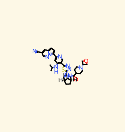 CC(C)Nc1cc(-c2ccc3cc(C#N)cnn23)ncc1-c1nnc(N2C[C@H]3CC[C@@H](C2)[C@H]3NC(=O)C2CCN(C3COC3)CC2)s1